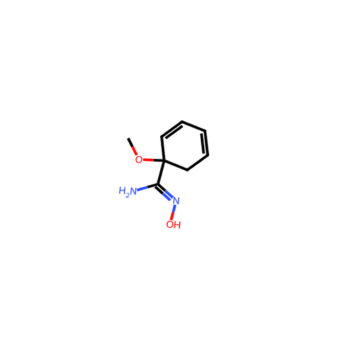 COC1(C(N)=NO)C=CC=CC1